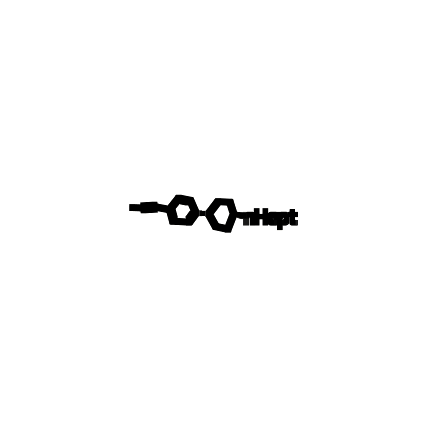 CC#Cc1ccc([C@H]2CC[C@H](CCCCCCC)CC2)cc1